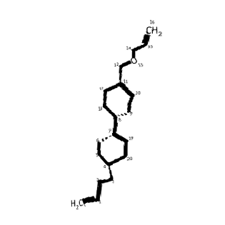 C=CCC[C@H]1CC[C@H]([C@H]2CC[C@H](COCC=C)CC2)CC1